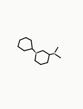 CN(C)C1CCCN(C2CCCCC2)C1